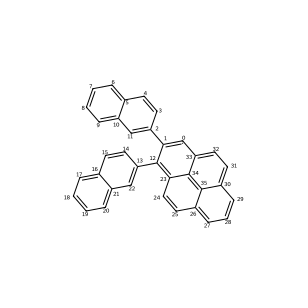 [c]1c(-c2ccc3ccccc3c2)c(-c2ccc3ccccc3c2)c2ccc3cccc4ccc1c2c43